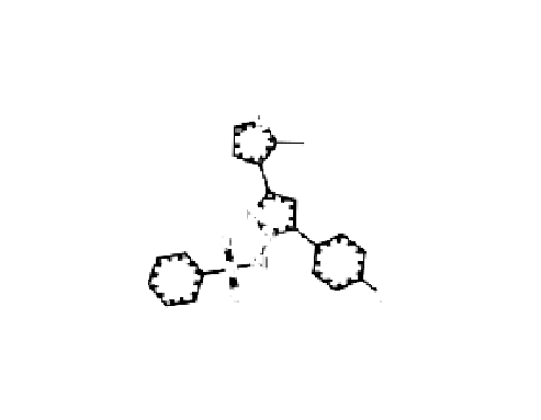 Cc1sccc1-c1cc(-c2ccc(Cl)cc2)n(NS(=O)(=O)c2ccccc2)n1